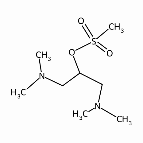 CN(C)CC(CN(C)C)OS(C)(=O)=O